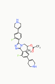 CC(Cn1c(-c2ccc(C3=CCNCC3)cc2F)nnc1-c1ccc(C2=CCNCC2)cc1F)OC(=O)C(F)(F)F